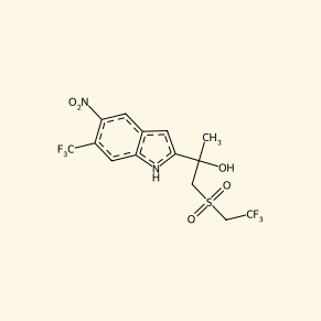 CC(O)(CS(=O)(=O)CC(F)(F)F)c1cc2cc([N+](=O)[O-])c(C(F)(F)F)cc2[nH]1